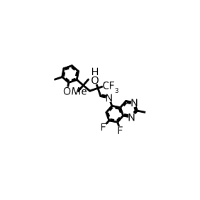 COc1c(C)cccc1C(C)(C)CC(O)(C=Nc1cc(F)c(F)c2nc(C)ncc12)C(F)(F)F